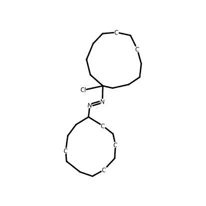 ClC1(/N=N/C2CCCCCCCCCCC2)CCCCCCCCCCC1